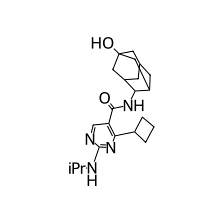 CC(C)Nc1ncc(C(=O)NC2C3CC4CC2CC(O)(C4)C3)c(C2CCC2)n1